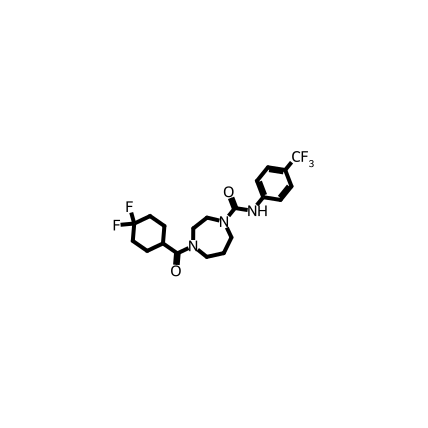 O=C(Nc1ccc(C(F)(F)F)cc1)N1CCCN(C(=O)C2CCC(F)(F)CC2)CC1